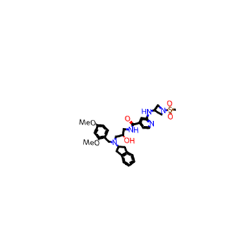 COc1ccc(CN(C[C@H](O)CNC(=O)c2ccnc(NC3CN(S(C)(=O)=O)C3)c2)C2Cc3ccccc3C2)c(OC)c1